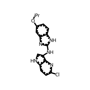 CC(C)Oc1ccc2[nH]c(Nc3c[nH]c4ccc(Cl)nc34)nc2c1